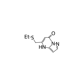 CCSCc1cc(=O)n2nccc2[nH]1